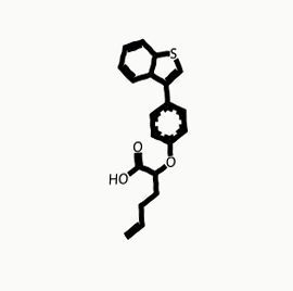 C=CCCC(Oc1ccc(C2=CSC3C=CC=CC23)cc1)C(=O)O